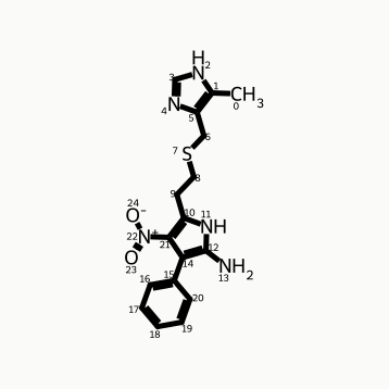 Cc1[nH]cnc1CSCCc1[nH]c(N)c(-c2ccccc2)c1[N+](=O)[O-]